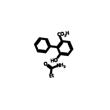 CCC(N)=O.O=C(O)c1cccc(O)c1-c1ccccc1